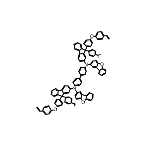 C=Cc1ccc(Oc2ccc(C3(c4ccc(F)cc4)c4ccccc4-c4ccc(N(c5ccc(-c6ccc(N(c7ccc8c(c7)C(c7ccc(F)cc7)(c7ccc(Oc9ccc(C=C)cc9)cc7)c7ccccc7-8)c7ccc8oc9ccccc9c8c7)cc6)cc5)c5ccc6oc7ccccc7c6c5)cc43)cc2)cc1